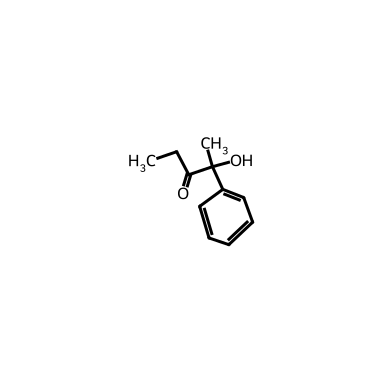 CCC(=O)C(C)(O)c1ccccc1